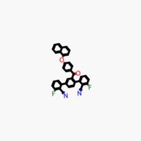 N#Cc1c(F)cccc1-c1ccc(-c2cccc(F)c2C#N)c(C(=O)c2ccc(Oc3cccc4ccccc34)cc2)c1